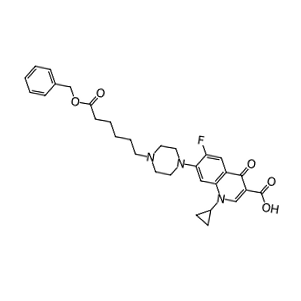 O=C(CCCCCN1CCN(c2cc3c(cc2F)c(=O)c(C(=O)O)cn3C2CC2)CC1)OCc1ccccc1